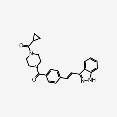 O=C(c1ccc(C=Cc2n[nH]c3ccccc23)cc1)N1CCN(C(=O)C2CC2)CC1